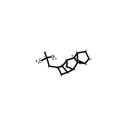 CC(CC1CC2C3CC(C12)C1C2CCC(C2)C31)(C(F)(F)F)C(F)(F)F